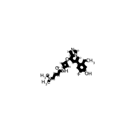 CCc1cc(O)c(F)cc1-c1cc(OC2CC(NC(=O)/C=C/CN(C)C)C2)c2cncn2c1